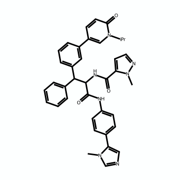 CC(C)n1cc(-c2cccc(C(c3ccccc3)C(NC(=O)c3ccnn3C)C(=O)Nc3ccc(-c4cncn4C)cc3)c2)ccc1=O